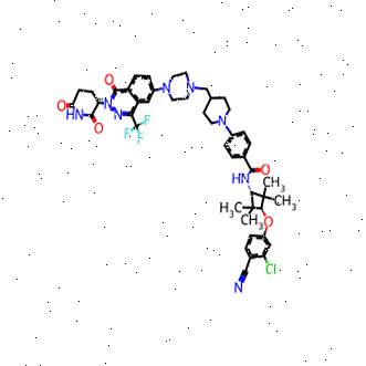 CC1(C)[C@H](NC(=O)c2ccc(N3CCC(CN4CCN(c5ccc6c(=O)n([C@@H]7CCC(=O)NC7=O)nc(C(F)(F)F)c6c5)CC4)CC3)cc2)C(C)(C)[C@H]1Oc1ccc(C#N)c(Cl)c1